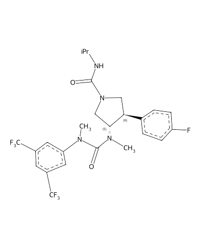 CC(C)NC(=O)N1C[C@@H](N(C)C(=O)N(C)c2cc(C(F)(F)F)cc(C(F)(F)F)c2)[C@H](c2ccc(F)cc2)C1